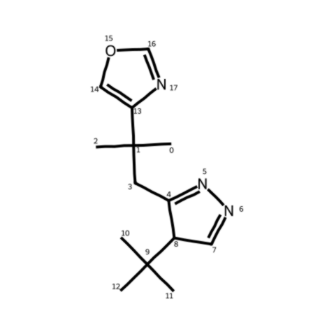 CC(C)(CC1=NN=CC1C(C)(C)C)c1cocn1